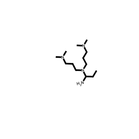 CCC(N)N(CCCN(C)C)CCCN(C)C